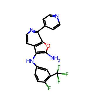 Nc1oc2c(-c3ccncc3)nccc2c1Nc1ccc(F)c(C(F)(F)F)c1